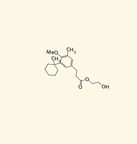 COc1c(C)cc(CCC(=O)OCCO)cc1C1(C)CCCCC1